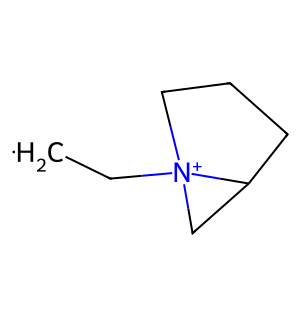 [CH2]C[N+]12CCCC1C2